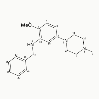 COc1ccc(N2CCN(C)CC2)cc1NCc1ccccc1